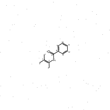 CC(C)=C(C)SC(=O)c1ccccc1